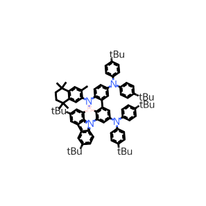 Cc1cc2c(cc1N1B3c4c(cc(N(c5ccc(C(C)(C)C)cc5)c5ccc(C(C)(C)C)cc5)cc4-n4c5ccc(C(C)(C)C)cc5c5cc(C(C)(C)C)cc3c54)-c3cc(N(c4ccc(C(C)(C)C)cc4)c4ccc(C(C)(C)C)cc4)ccc31)C(C)(C)CCC2(C)C